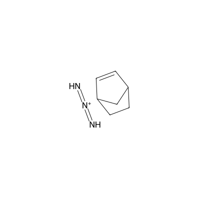 C1=CC2CCC1C2.N=[N+]=N